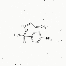 C=CC=C.Nc1ccc(S(N)(=O)=O)cc1